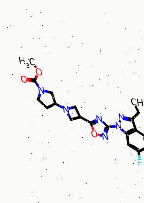 CCc1nn(-c2noc(C3CN(C4CCN(C(=O)OC)C4)C3)n2)c2cc(F)ccc12